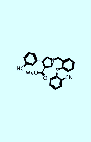 COC(=O)[C@@H]1CN(Cc2ccccc2Sc2ccccc2C#N)C[C@H]1c1cccc(C#N)c1